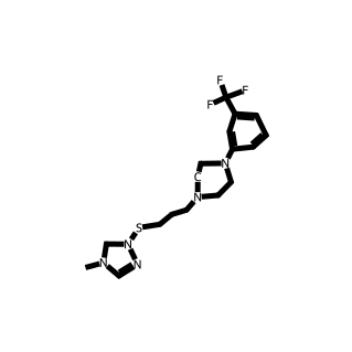 CN1C=NN(SCCCN2CCN(c3cccc(C(F)(F)F)c3)CC2)C1